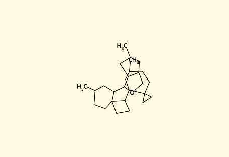 CC1CC2COC(C3CC(C)CCC34CCC4C3CC(C)CCC34CC4)C2C1